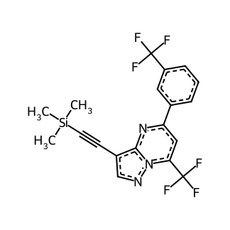 C[Si](C)(C)C#Cc1cnn2c(C(F)(F)F)cc(-c3cccc(C(F)(F)F)c3)nc12